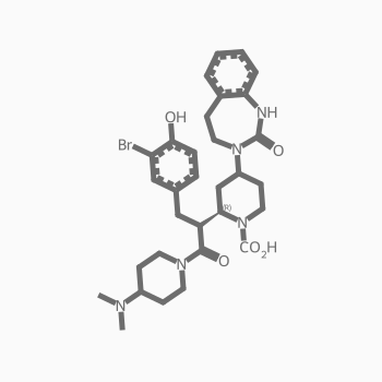 CN(C)C1CCN(C(=O)C(Cc2ccc(O)c(Br)c2)[C@H]2CC(N3CCc4ccccc4NC3=O)CCN2C(=O)O)CC1